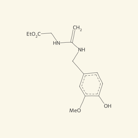 C=C(NCC(=O)OCC)NCc1ccc(O)c(OC)c1